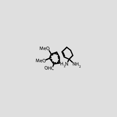 COc1cccc(C=O)c1OC.NC1(N)C=CCCC1